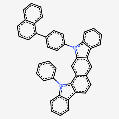 c1ccc(-n2c3ccccc3c3ccc4cc5c6ccccc6n(-c6ccc(-c7cccc8ccccc78)cc6)c5cc4c32)cc1